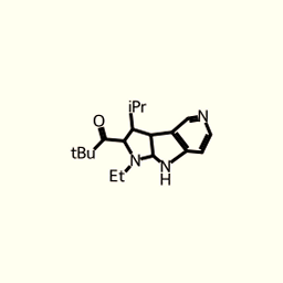 CCN1C2Nc3ccncc3C2C(C(C)C)C1C(=O)C(C)(C)C